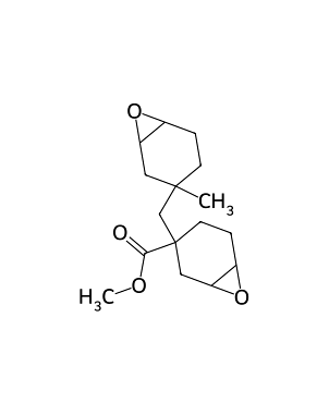 COC(=O)C1(CC2(C)CCC3OC3C2)CCC2OC2C1